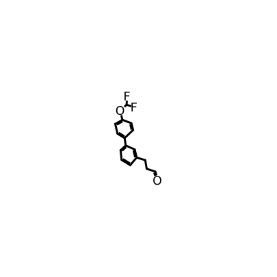 O=CCCc1cccc(-c2ccc(OC(F)F)cc2)c1